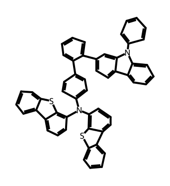 c1ccc(-n2c3ccccc3c3ccc(-c4ccccc4-c4ccc(N(c5cccc6c5sc5ccccc56)c5cccc6c5sc5ccccc56)cc4)cc32)cc1